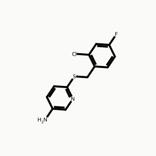 Nc1ccc(SCc2ccc(F)cc2Cl)nc1